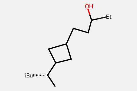 CCC(O)CCC1CC([C@H](C)C(C)CC)C1